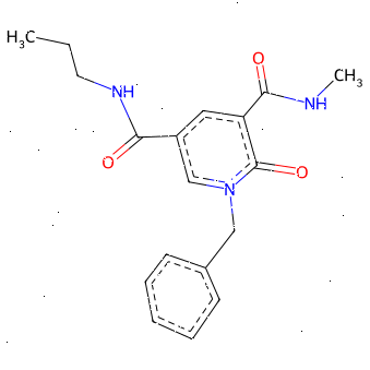 CCCNC(=O)c1cc(C(=O)NC)c(=O)n(Cc2ccccc2)c1